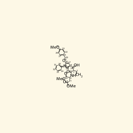 C=CC(C(=O)NC(CC(=O)OC)C(=O)OC)[C@H](O)c1cc(OCc2ccc(OC)cc2)n(-c2ccccc2)n1